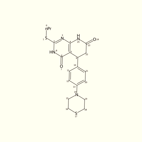 CCCSc1nc2c(c(=O)[nH]1)C(c1ccc(N3CCSCC3)cc1)CC(=O)N2